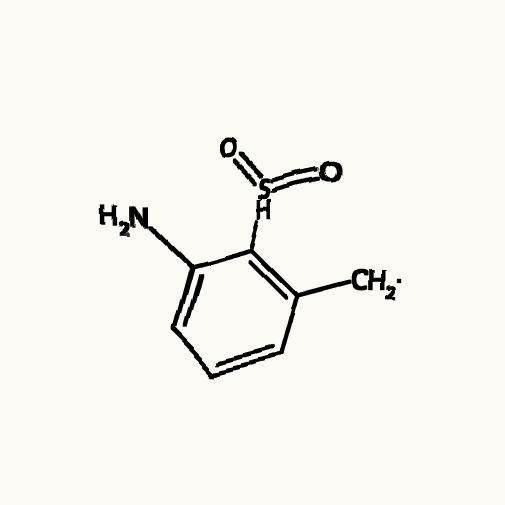 [CH2]c1cccc(N)c1[SH](=O)=O